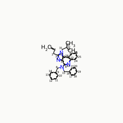 C=CCc1nc2c(N(Cc3ccccc3)Cc3ccccc3)nc3ccccc3c2n1CC(C)C